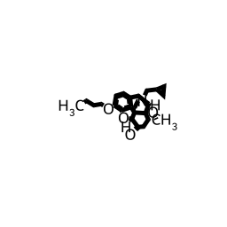 CCCCOc1ccc2c3c1O[C@H]1C(=O)CC[C@@]4(OC)[C@@H](C2)N(CC2CC2)CC[C@]314